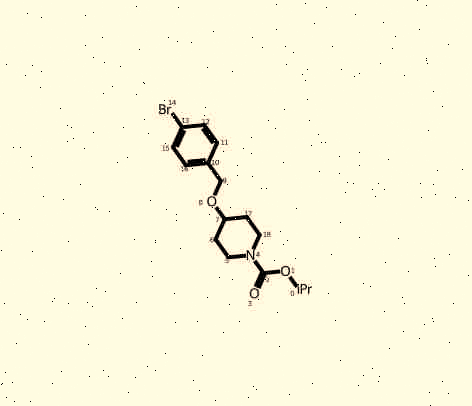 CC(C)OC(=O)N1CCC(OCc2ccc(Br)cc2)CC1